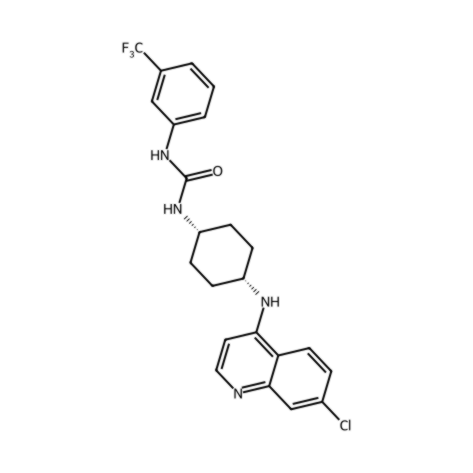 O=C(Nc1cccc(C(F)(F)F)c1)N[C@H]1CC[C@@H](Nc2ccnc3cc(Cl)ccc23)CC1